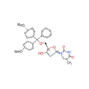 COc1ccc(C(OC[C@H]2O[C@@H](n3cc(C)c(=O)[nH]c3=O)CC2O)(c2ccccc2)c2ccc(OC)cc2)cc1